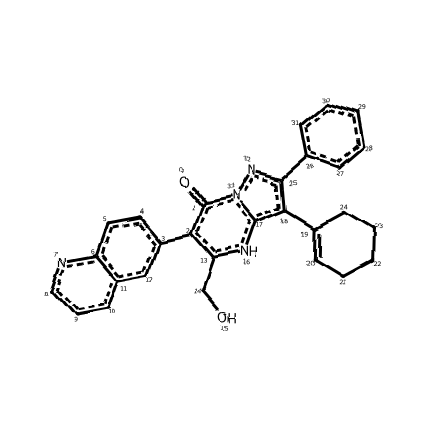 O=c1c(-c2ccc3ncccc3c2)c(CO)[nH]c2c(C3=CCCCC3)c(-c3ccccc3)nn12